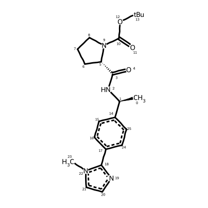 C[C@H](NC(=O)[C@@H]1CCCN1C(=O)OC(C)(C)C)c1ccc(-c2nccn2C)cc1